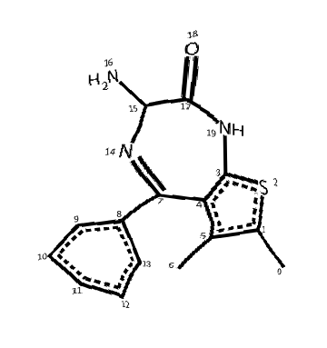 Cc1sc2c(c1C)C(c1ccccc1)=NC(N)C(=O)N2